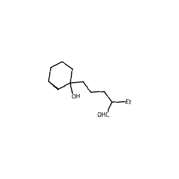 CCC(C=O)CCCC1(O)CCCCC1